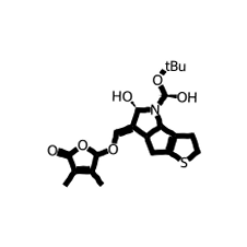 CC1=C(C)C(O/C=C2\C3CC4=C(CCS4)C3N([C@H](O)OC(C)(C)C)[C@H]2O)OC1=O